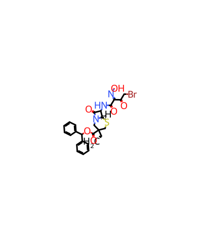 C=CC1(C(=O)OC(c2ccccc2)c2ccccc2)CS[C@@H]2C(NC(=O)C(=NO)C(=O)CBr)C(=O)N2C1